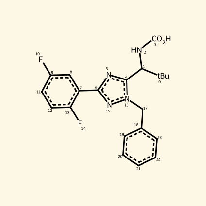 CC(C)(C)C(NC(=O)O)c1nc(-c2cc(F)ccc2F)nn1Cc1ccccc1